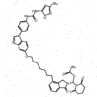 CC(C)(C)C(=O)OC(N1Cc2c(CCCCCCCOc3ccc4c(c3)ncn4-c3ccc(NC(=O)Nc4cc(C(C)(C)C)n[nH]4)cc3)cccc2C1=O)N1C(=O)CCCC1=O